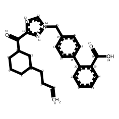 C=CCCC1CCCC(C(=O)c2ncn(Cc3ccc(-c4ccccc4C(=O)O)cc3)n2)C1